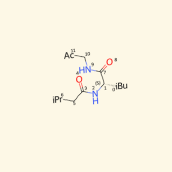 CCC(C)[C@H](NC(=O)CC(C)C)C(=O)NCC(C)=O